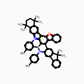 CC(C)(C)c1ccc(N2B3c4cc(C(C)(C)C)ccc4-n4c5cc6c(cc5c5c7oc8ccccc8c7c(c3c54)-c3cc4c(cc32)-c2ccccc2C4(C)C)C(C)(C)CCC6(C)C)cc1